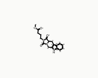 COC(=O)CCCN1C(=O)C2Cc3c([nH]c4ccccc34)CN2C1=O